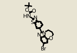 CC(C)(C)OC(=O)Nc1nc2ccc(-c3nc4cc(Br)cc5c4n3CCCO5)cc2s1